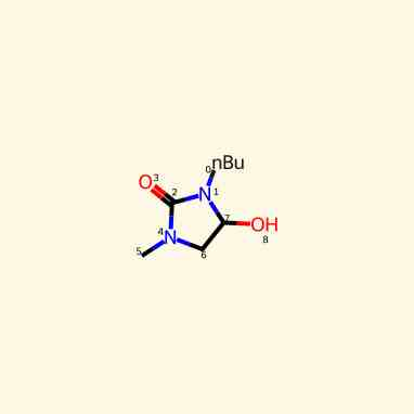 CCCCN1C(=O)N(C)CC1O